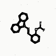 FC(F)Oc1ccccc1C=Nn1c2ccccc2c2ccccc21